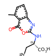 Cc1cccc2nc(N[C@@H](CC(C)C)C(=O)O)oc(=O)c12